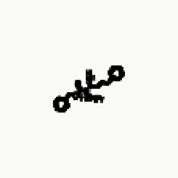 CC(C)NN(C(=O)OCc1ccccc1)C(N)CCCc1ccccc1